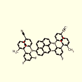 [C-]#[N+]c1ccc(N(c2c(F)cc(F)cc2-c2ccccc2C)c2ccc3ccc4c(N(c5ccc(C#N)cc5)c5c(F)cc(F)cc5-c5ccccc5C)ccc5ccc2c3c54)cc1